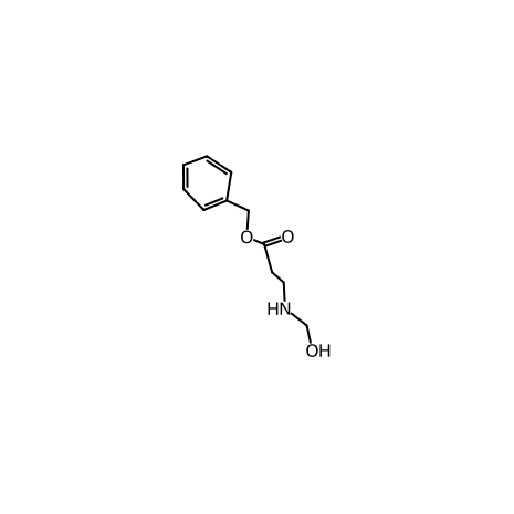 O=C(CCNCO)OCc1ccccc1